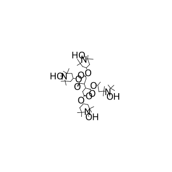 CC(CC(C)(C)N(O)C(C)(C)C)OC(=O)C(CC(=O)OC1CC(C)(C)N(O)C(C)(C)C1)C(CC(=O)OC1CC(C)(C)N(O)C(C)(C)C1)C(=O)OC1CC(C)(C)N(O)C(C)(C)C1